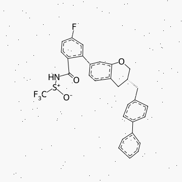 O=C(N[S+]([O-])C(F)(F)F)c1ccc(F)cc1-c1ccc2c(c1)OC[C@H](Cc1ccc(-c3ccccc3)cc1)C2